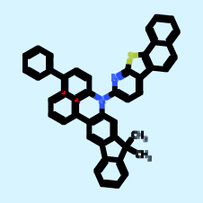 CC1(C)c2ccccc2-c2cc(-c3ccccc3)c(N(c3ccc(-c4ccccc4)cc3)c3ccc4c(n3)sc3c5ccccc5ccc43)cc21